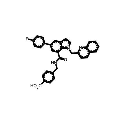 O=C(O)c1ccc(CNC(=O)c2cc(-c3ccc(F)cc3)cc3ccn(Cc4ccc5ccccc5n4)c23)cc1